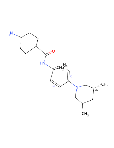 C=C(/C=C\C(=C/C)N1CC(C)C[C@@H](C)C1)NC(=O)C1CCC(N)CC1